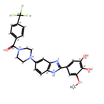 COc1cc(-c2nc3cc(N4CCN(C(=O)c5ccc(C(F)(F)F)cc5)CC4)ccc3[nH]2)cc(O)c1O